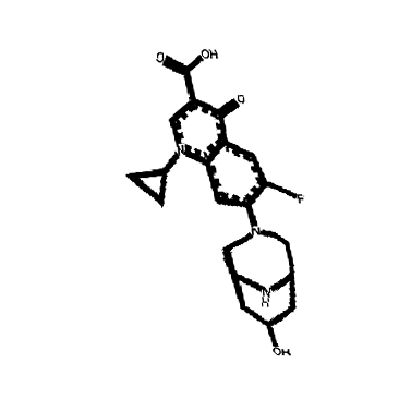 O=C(O)c1cn(C2CC2)c2cc(N3CC4CC(O)CC(C3)N4)c(F)cc2c1=O